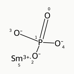 O=P([O-])([O-])[O-].[Sm+3]